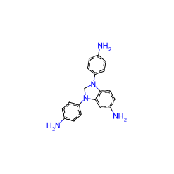 Nc1ccc(N2CN(c3ccc(N)cc3)c3cc(N)ccc32)cc1